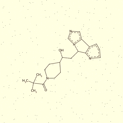 CC(C)(C)C(=O)N1CCC(C(O)CC2c3ncccc3-c3cncn32)CC1